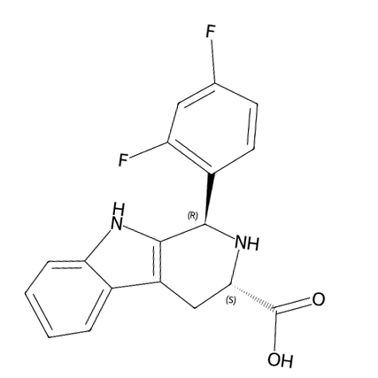 O=C(O)[C@@H]1Cc2c([nH]c3ccccc23)[C@@H](c2ccc(F)cc2F)N1